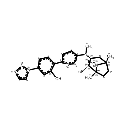 CN(c1ccc(-c2ccc(-n3ccnn3)cc2O)nn1)[C@H]1C[C@]2(C)CC[C@](C)([C@@H]1F)N2C